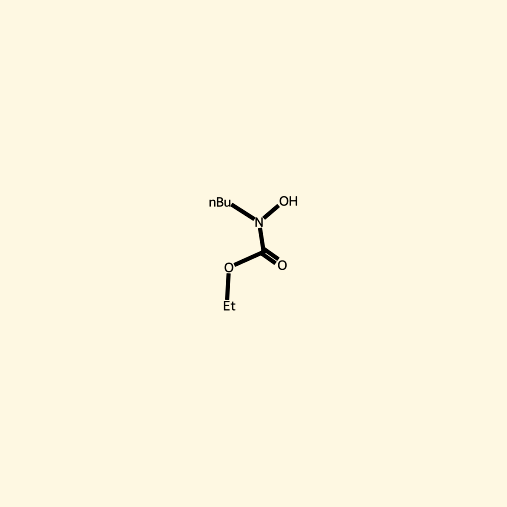 CCCCN(O)C(=O)OCC